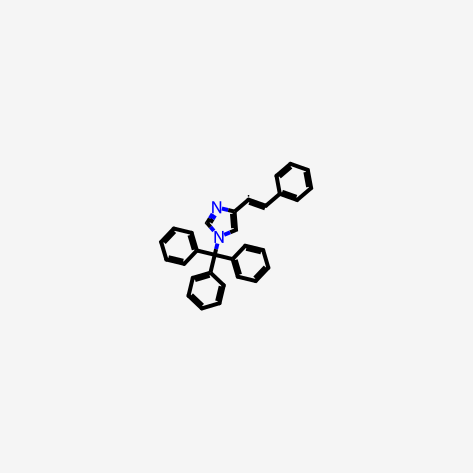 [C](=Cc1ccccc1)c1cn(C(c2ccccc2)(c2ccccc2)c2ccccc2)cn1